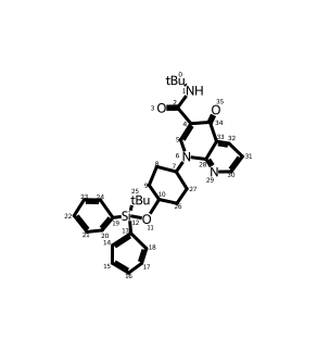 CC(C)(C)NC(=O)c1cn(C2CCC(O[Si](c3ccccc3)(c3ccccc3)C(C)(C)C)CC2)c2ncccc2c1=O